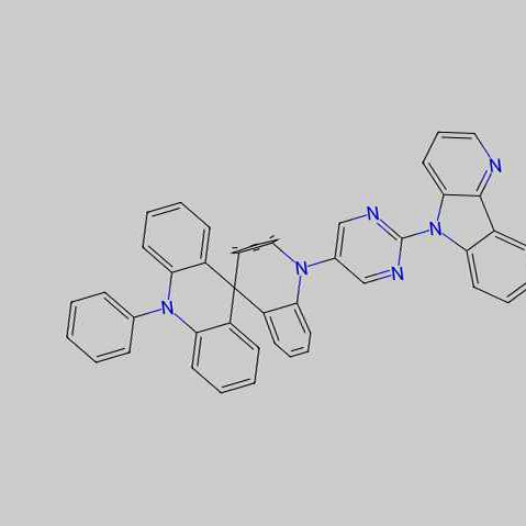 c1ccc(N2c3ccccc3C3(c4ccccc42)c2ccccc2N(c2cnc(-n4c5ccccc5c5ncccc54)nc2)c2ccccc23)cc1